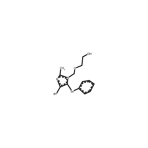 Cc1nc(C(C)C)c([Se]c2ccccc2)n1COCCO